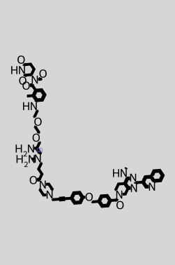 CNc1nc(-c2cnc3ccccc3c2)nc2c1CCN(C(=O)c1ccc(COc3ccc(C#CCN4CCN(C(=O)CCCN(N)/C=C(\N)COCCOCCNc5cccc(C(=O)N(C=O)C6CCC(=O)NC6=O)c5C)CC4)cc3)cc1)C2